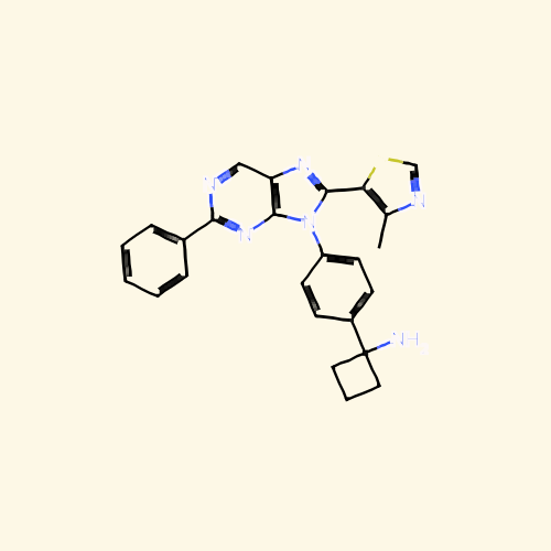 Cc1ncsc1-c1nc2cnc(-c3ccccc3)nc2n1-c1ccc(C2(N)CCC2)cc1